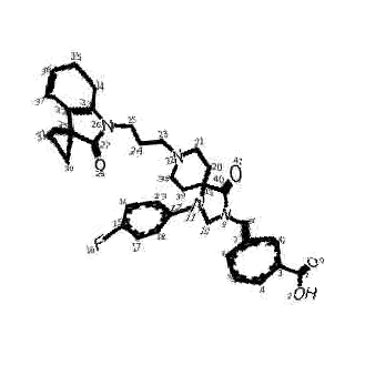 O=C(O)c1cccc(CN2CN(c3ccc(F)cc3)C3(CCN(CCCN4C(=O)C5(CC5)C5=C4CCC=C5)CC3)C2=O)c1